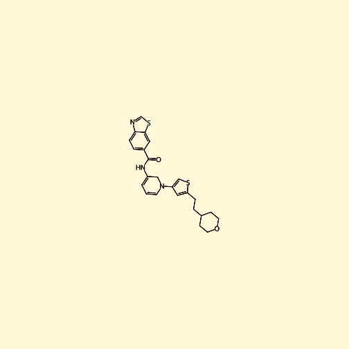 O=C(NC1=CC=CN(c2csc(CCC3CCOCC3)c2)C1)c1ccc2ncsc2c1